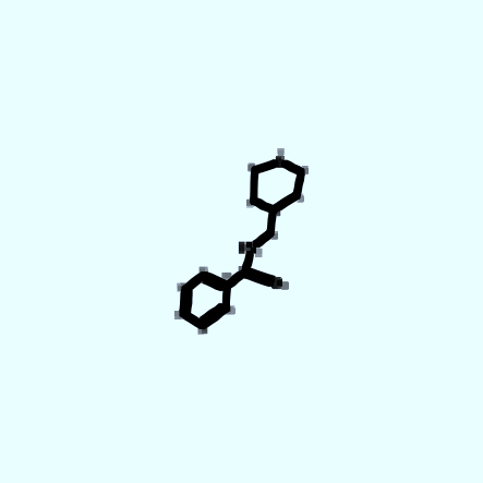 O=C(NCC1CCSCC1)c1ccccc1